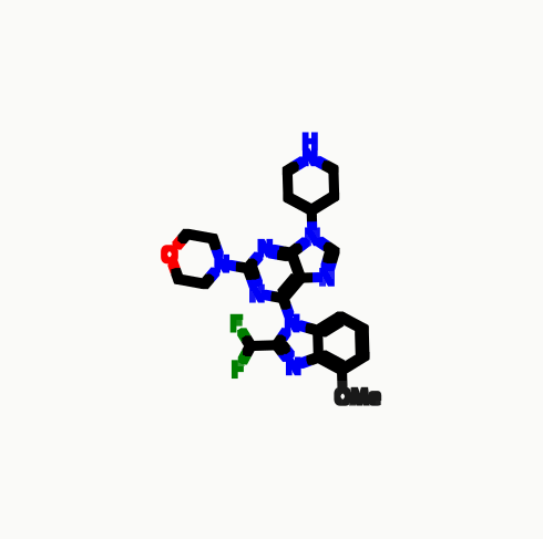 COc1cccc2c1nc(C(F)F)n2-c1nc(N2CCOCC2)nc2c1ncn2C1CCNCC1